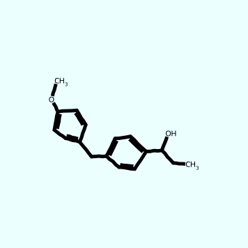 CCC(O)c1ccc(Cc2ccc(OC)cc2)cc1